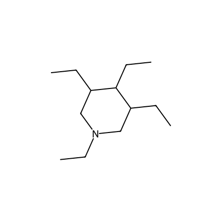 CCC1CN(CC)CC(CC)C1CC